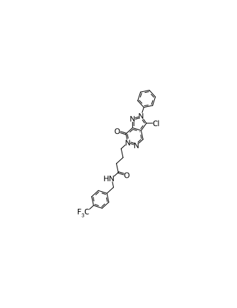 O=C(CCCn1ncc2c(Cl)n(-c3ccccc3)nc2c1=O)NCc1ccc(C(F)(F)F)cc1